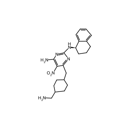 NCC1CCC(Cc2nc(N[C@@H]3CCCc4ccccc43)nc(N)c2[N+](=O)[O-])CC1